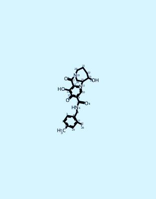 Cc1ccc(CNC(=O)c2cn3c(c(O)c2=O)C(=O)N2CCCC(O)C3C2)c(F)c1